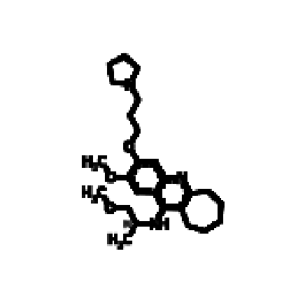 COC[C@H](C)Nc1c2c(nc3cc(OCCCN4CCCC4)c(OC)cc13)CCCCC2